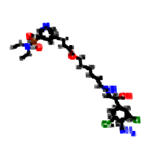 CCN(CC)S(=O)(=O)c1cncc(CCCOCCCCCCNCC(O)c2cc(Cl)c(N)c(Cl)c2)c1